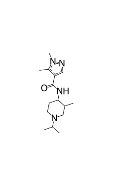 Cc1c(C(=O)NC2CCN(C(C)C)CC2C)cnn1C